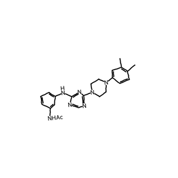 CC(=O)Nc1cccc(Nc2ncnc(N3CCN(c4ccc(C)c(C)c4)CC3)n2)c1